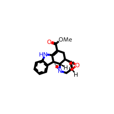 CC[C@@]12CC(C(=O)OC)=C3Nc4ccccc4[C@@]34CCN(C[C@H]3O[C@H]31)[C@@H]24